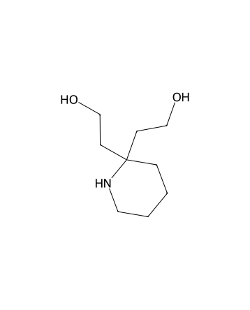 OCCC1(CCO)CCCCN1